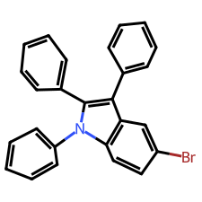 Brc1ccc2c(c1)c(-c1ccccc1)c(-c1ccccc1)n2-c1ccccc1